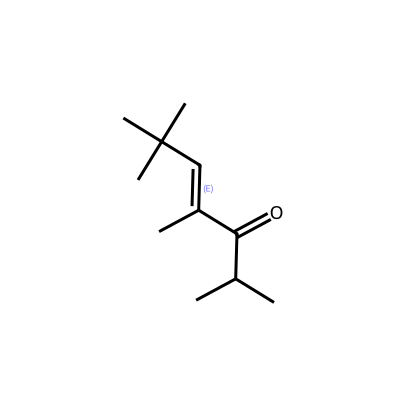 C/C(=C\C(C)(C)C)C(=O)C(C)C